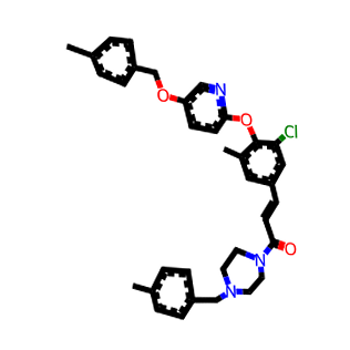 Cc1ccc(COc2ccc(Oc3c(C)cc(C=CC(=O)N4CCN(Cc5ccc(C)cc5)CC4)cc3Cl)nc2)cc1